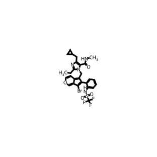 CCc1nc(CC2CC2)c(C(=O)NC)n1Cc1c2ccocc-2c(Br)c1-c1ccccc1NS(=O)(=O)C(F)(F)F